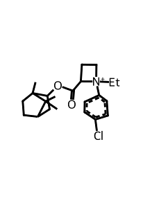 CC[N+]1(c2ccc(Cl)cc2)CCC1C(=O)OC1CC2CCC1(C)C2(C)C